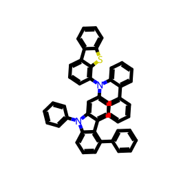 c1ccc(-c2ccccc2N(c2ccc3c4c(-c5ccccc5)cccc4n(-c4ccccc4)c3c2)c2cccc3c2sc2ccccc23)cc1